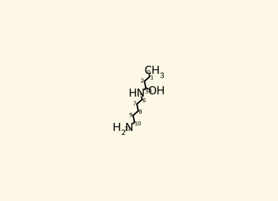 CCCC(O)NCCCCCN